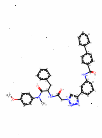 COc1ccc(N(C)C(=O)C(Cc2ccccc2)NC(=O)Cn2cc(-c3cccc(NC(=O)c4ccc(-c5ccccc5)cc4)c3)nn2)cc1